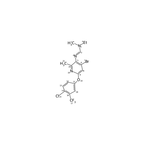 CCN(C)C=Nc1c(Br)cc(Oc2ccc(Cl)c(C(F)(F)F)c2)nc1C